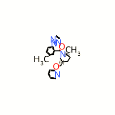 Cc1ccc(-n2nccn2)c(C(=O)N2C[C@H](COc3ccccn3)CC[C@H]2C)c1